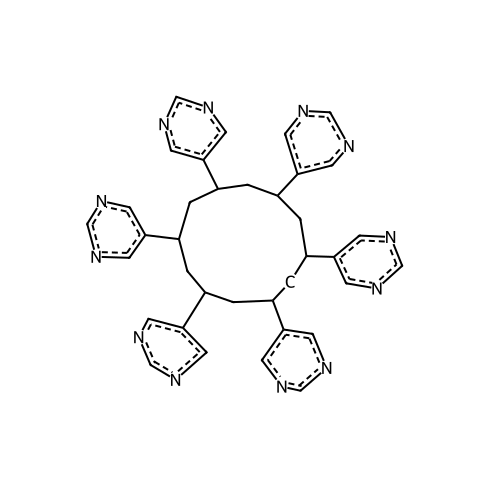 c1ncc(C2CC(c3cncnc3)CC(c3cncnc3)CC(c3cncnc3)CC(c3cncnc3)CC(c3cncnc3)C2)cn1